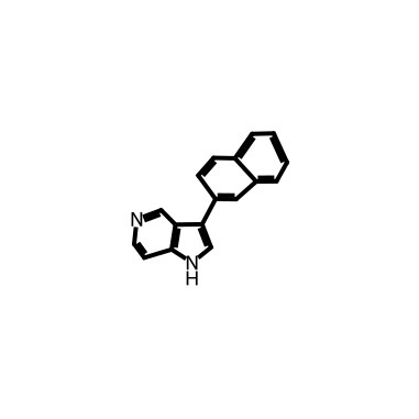 c1ccc2cc(-c3c[nH]c4ccncc34)ccc2c1